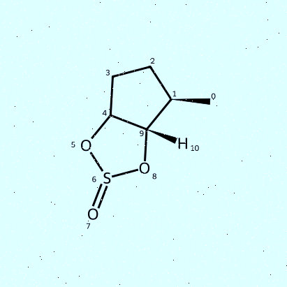 C[C@@H]1CCC2OS(=O)O[C@H]21